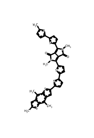 Cc1ccc(-c2ccc(C3=C4C(=O)N(C)C(c5ccc(-c6ccc(-c7cc8c(C)c9sc(C)cc9c(C)c8s7)s6)s5)=C4C(=O)N3C)s2)s1